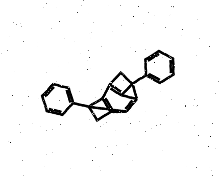 c1ccc(C23Cc4c2c2c5c(c43)C5(c3ccccc3)C2)cc1